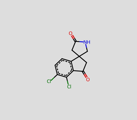 O=C1CC2(CN1)CC(=O)c1c2ccc(Cl)c1Cl